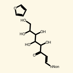 CCCCCCCCCC=CC(=O)C(O)C(O)C(O)C(O)CO.c1ccoc1